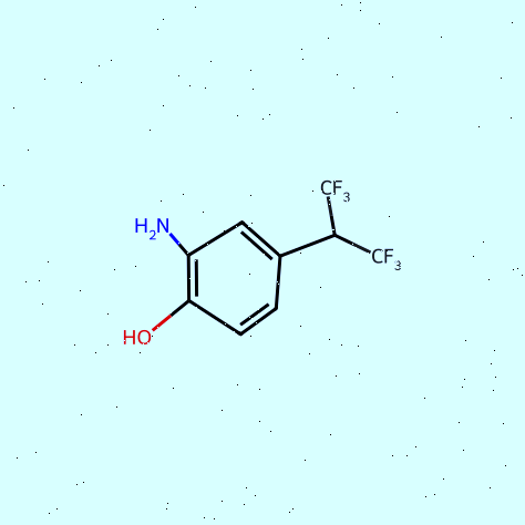 Nc1cc(C(C(F)(F)F)C(F)(F)F)ccc1O